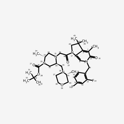 Cc1c2c(cn(Cc3ccc(F)cc3F)c1=O)N(C(=O)CN1C[C@@H](C)N(C(=O)OC(C)(C)C)C[C@@H]1CN1CCOC[C@H]1C)CC2(C)C